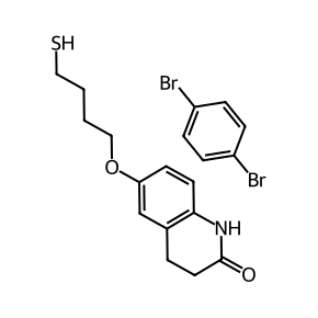 Brc1ccc(Br)cc1.O=C1CCc2cc(OCCCCS)ccc2N1